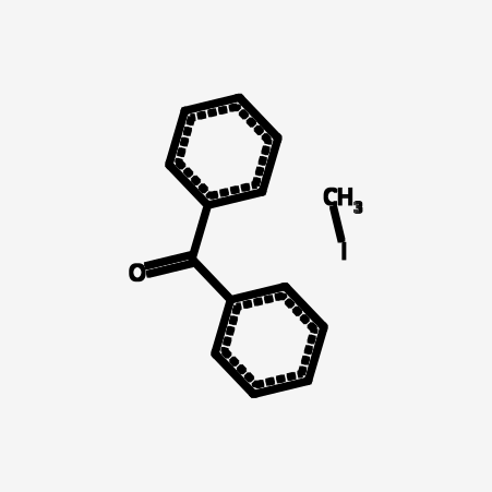 CI.O=C(c1ccccc1)c1ccccc1